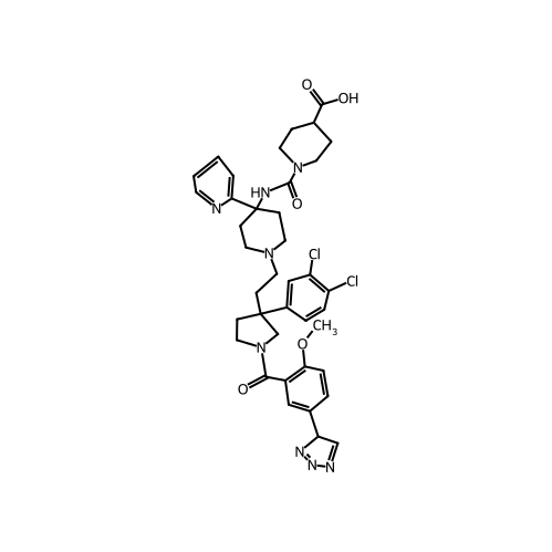 COc1ccc(C2C=NN=N2)cc1C(=O)N1CCC(CCN2CCC(NC(=O)N3CCC(C(=O)O)CC3)(c3ccccn3)CC2)(c2ccc(Cl)c(Cl)c2)C1